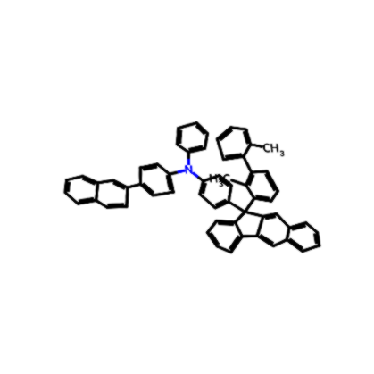 Cc1ccccc1-c1cccc(C2(c3ccc(N(c4ccccc4)c4ccc(-c5ccc6ccccc6c5)cc4)cc3)c3ccccc3-c3cc4ccccc4cc32)c1C